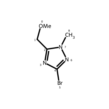 COCc1nc(Br)nn1C